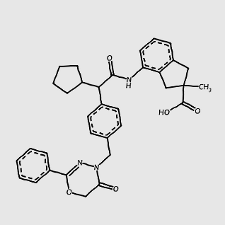 CC1(C(=O)O)Cc2cccc(NC(=O)C(c3ccc(CN4N=C(c5ccccc5)OCC4=O)cc3)C3CCCC3)c2C1